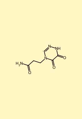 NC(=O)CCn1[c]n[nH]c(=O)c1=O